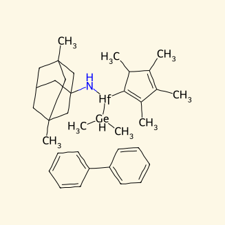 CC1=C(C)C(C)[C]([Hf]([NH]C23CC4CC(C)(CC(C)(C4)C2)C3)[GeH]([CH3])[CH3])=C1C.c1ccc(-c2ccccc2)cc1